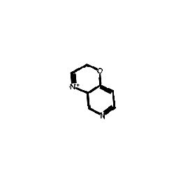 C1=NCC2[N+]=CCOC2=C1